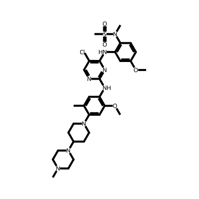 COc1ccc(N(C)S(C)(=O)=O)c(Nc2nc(Nc3cc(C)c(N4CCC(N5CCN(C)CC5)CC4)cc3OC)ncc2Cl)c1